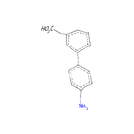 Nc1ccc(-c2cccc(C(=O)O)c2)cc1